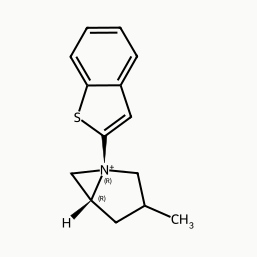 CC1C[C@@H]2C[N@+]2(c2cc3ccccc3s2)C1